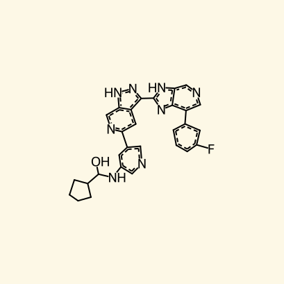 OC(Nc1cncc(-c2cc3c(-c4nc5c(-c6cccc(F)c6)cncc5[nH]4)n[nH]c3cn2)c1)C1CCCC1